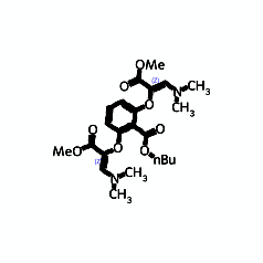 CCCCOC(=O)c1c(O/C(=C\N(C)C)C(=O)OC)cccc1O/C(=C\N(C)C)C(=O)OC